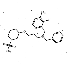 CS(=O)(=O)N1CCCC(OCCCN(Cc2ccccc2)Cc2cccc(C(F)(F)F)c2F)C1